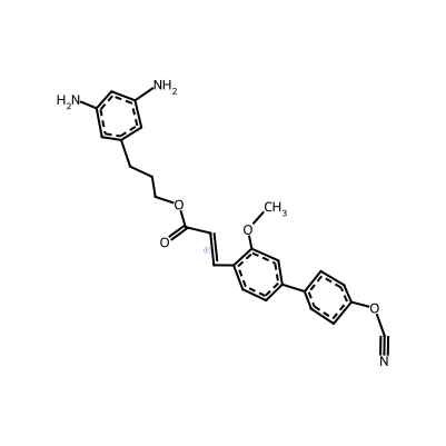 COc1cc(-c2ccc(OC#N)cc2)ccc1/C=C/C(=O)OCCCc1cc(N)cc(N)c1